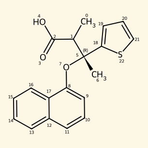 CC(C(=O)O)[C@@](C)(Oc1cccc2ccccc12)c1cccs1